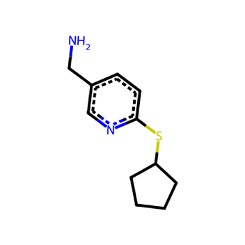 NCc1ccc(SC2CCCC2)nc1